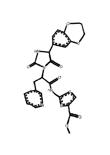 COC(=O)c1csc(NC(=O)C(Cc2cccnc2)N2C(=O)NC(c3ccc4c(c3)OCCO4)C2=O)n1